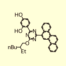 CCCCC(CC)COc1nc(-c2ccc(O)cc2O)nc(-c2cc3c4ccccc4ccc3c3ccccc23)n1